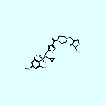 COc1cc(C)c(S(=O)(=O)N(Cc2nc(C(=O)N3CCN(CC4=CNC(C)N4)CC3)co2)C2CC2)c(C)c1